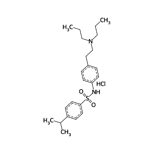 CCCN(CCC)CCc1ccc(NS(=O)(=O)c2ccc(C(C)C)cc2)cc1.Cl